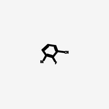 CCc1cccc(C#N)c1F